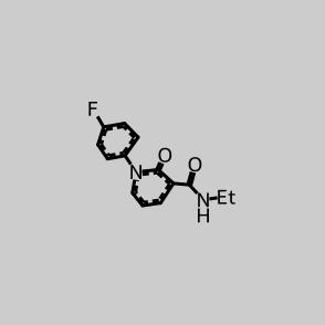 CCNC(=O)c1cccn(-c2ccc(F)cc2)c1=O